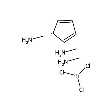 CN.CN.CN.[CH]1C=CC=C1.[Cl][Ti]([Cl])[Cl]